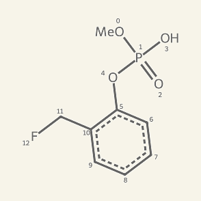 COP(=O)(O)Oc1ccccc1CF